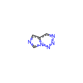 c1ncn2nnncc12